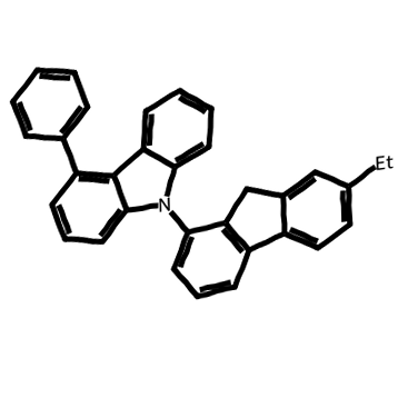 CCc1ccc2c(c1)Cc1c-2cccc1-n1c2ccccc2c2c(-c3ccccc3)cccc21